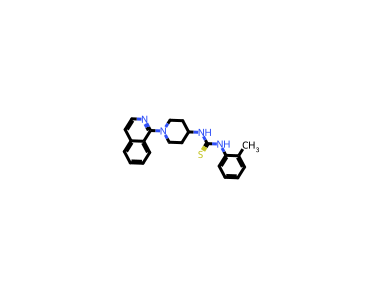 Cc1ccccc1NC(=S)NC1CCN(c2nccc3ccccc23)CC1